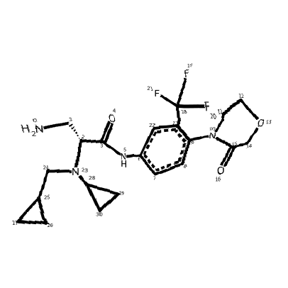 NC[C@H](C(=O)Nc1ccc(N2CCOCC2=O)c(C(F)(F)F)c1)N(CC1CC1)C1CC1